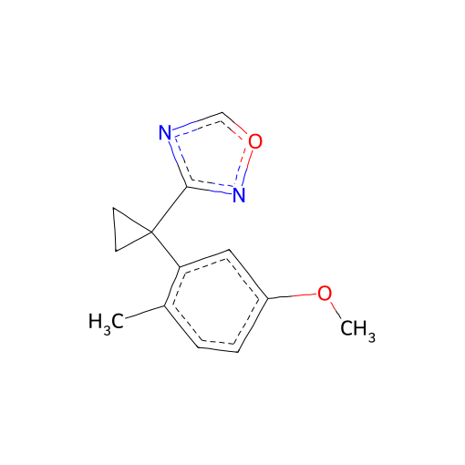 COc1ccc(C)c(C2(c3ncon3)CC2)c1